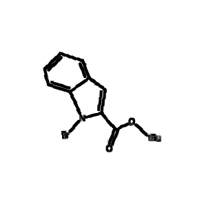 CC(C)(C)OC(=O)c1cc2ccccc2n1Br